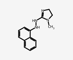 CN1CCN=C1NNc1cccc2ccccc12